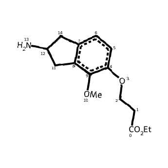 CCOC(=O)CCOc1ccc2c(c1OC)CC(N)C2